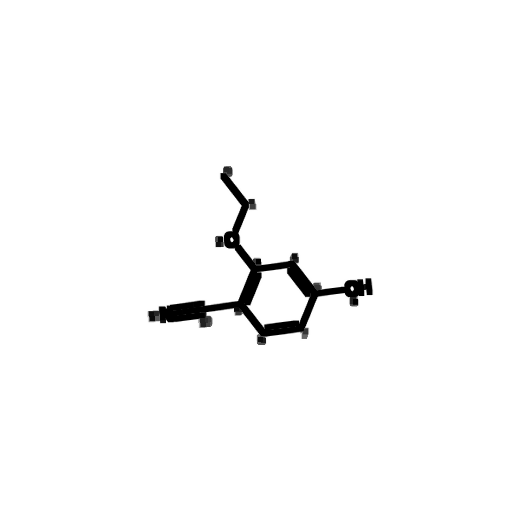 CCOc1cc(O)ccc1C#N